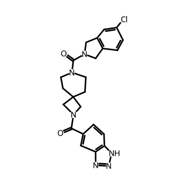 O=C(c1ccc2[nH]nnc2c1)N1CC2(CCN(C(=O)N3Cc4ccc(Cl)cc4C3)CC2)C1